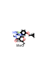 COC[C@H]1C[C@H]2C(=O)N(C)C(=N)N[C@@]2(c2cc(OCC3CC3)ccc2F)CO1